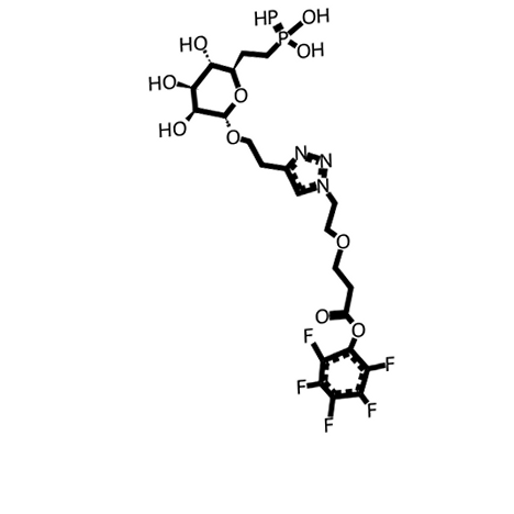 O=C(CCOCCn1cc(CCO[C@H]2O[C@H](CCP(O)(O)=P)[C@@H](O)[C@H](O)[C@@H]2O)nn1)Oc1c(F)c(F)c(F)c(F)c1F